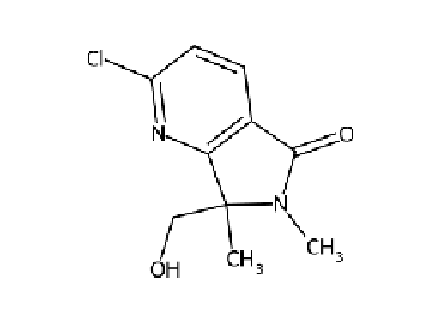 CN1C(=O)c2ccc(Cl)nc2C1(C)CO